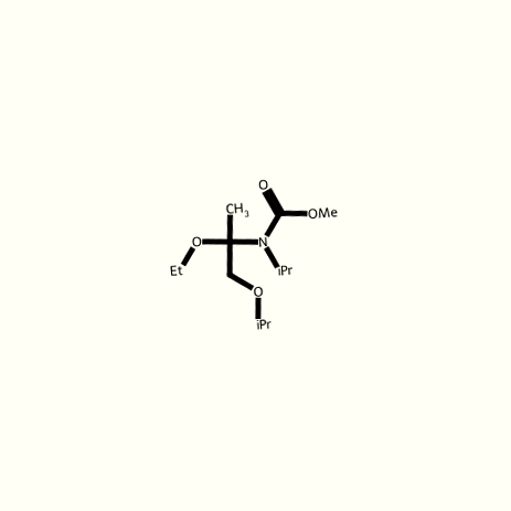 CCOC(C)(COC(C)C)N(C(=O)OC)C(C)C